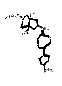 CC(=O)Nc1ccc(-c2cnc(NC3C[C@@H]4CN(C(=O)O)C[C@@H]4C3)cn2)cc1